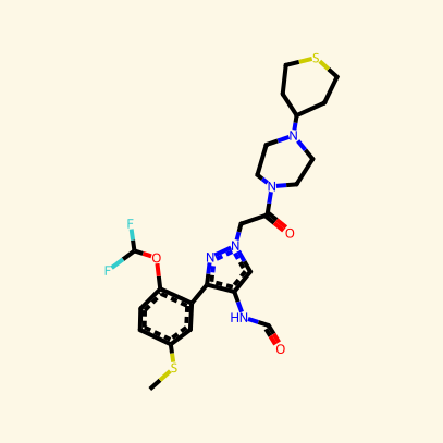 CSc1ccc(OC(F)F)c(-c2nn(CC(=O)N3CCN(C4CCSCC4)CC3)cc2NC=O)c1